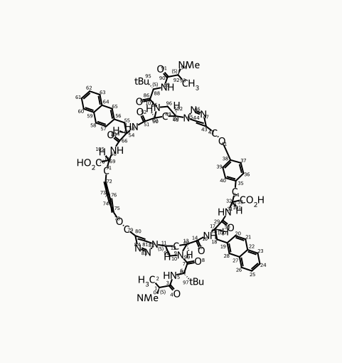 CN[C@@H](C)C(=O)N[C@H](C(=O)N1C[C@@H]2C[C@H]1C(=O)N[C@@H](Cc1ccc3ccccc3c1)C(=O)N[C@@H](C(=O)O)Cc1ccc(cc1)OCc1cn(nn1)[C@H]1C[C@@H](C(=O)N[C@@H](Cc3ccc4ccccc4c3)C(=O)N[C@@H](C(=O)O)Cc3ccc(cc3)OCc3cn2nn3)N(C(=O)[C@@H](NC(=O)[C@H](C)NC)C(C)(C)C)C1)C(C)(C)C